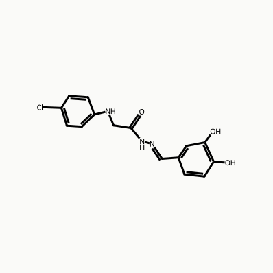 O=C(CNc1ccc(Cl)cc1)N/N=C/c1ccc(O)c(O)c1